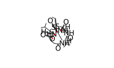 C/C=C1/NC(=O)[C@H]2CSSCCCC(CC(=O)N[C@H](C(C)C)C(=O)N2)OC(=O)[C@H](C(C)C)NC1=O